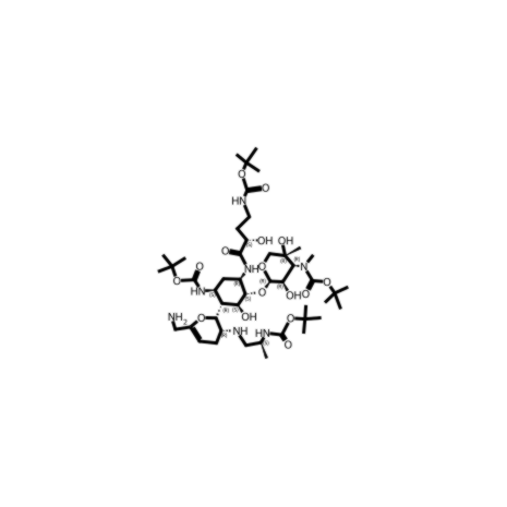 C[C@@H](CN[C@@H]1CC=C(CN)OC1[C@H]1[C@H](O)[C@@H](O[C@H]2OC[C@](C)(O)[C@H](N(C)C(=O)OC(C)(C)C)[C@H]2O)[C@H](NC(=O)[C@@H](O)CCNC(=O)OC(C)(C)C)C[C@@H]1NC(=O)OC(C)(C)C)NC(=O)OC(C)(C)C